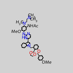 COc1ccc(COc2cccc(Cn3cc(-c4ccnc(Nc5cc(NC(C)=O)c(N(C)CCN(C)C)cc5OC)n4)c4ccccc43)c2C2OCCO2)cc1